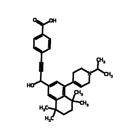 CC(C)N1CC=C(c2cc(C(O)C#Cc3ccc(C(=O)O)cc3)cc3c2C(C)(C)CCC3(C)C)CC1